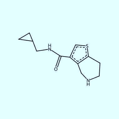 O=C(NCC1CC1)c1csc2c1CNCC2